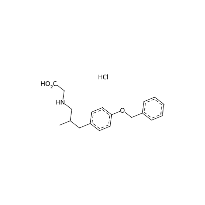 CC(CNCC(=O)O)Cc1ccc(OCc2ccccc2)cc1.Cl